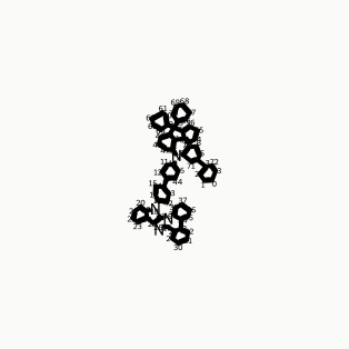 c1ccc(-c2cccc(N(c3ccc(-c4ccc(-n5c6ccccc6c6nc7c8ccccc8c8ccccc8n7c65)cc4)cc3)c3cccc4c3-c3ccccc3C4(c3ccccc3)c3ccccc3)c2)cc1